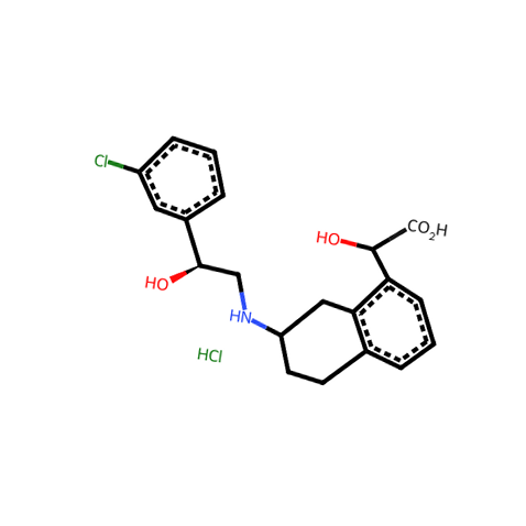 Cl.O=C(O)C(O)c1cccc2c1CC(NC[C@@H](O)c1cccc(Cl)c1)CC2